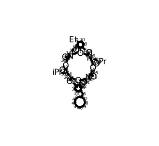 CCc1ccc(C[C@H]2OC(=O)[C@H](CC(C)C)N(C)C(=O)[C@@H](C)OC(=O)[C@H](CC(C)C)N(C)C(=O)[C@@H](Cc3ccc(CC4CCCCCCCC4)cc3)OC(=O)C(CC(C)C)N(C)C(=O)[C@@H](C)OC(=O)[C@H](CC(C)C)N(C)C2=O)cc1